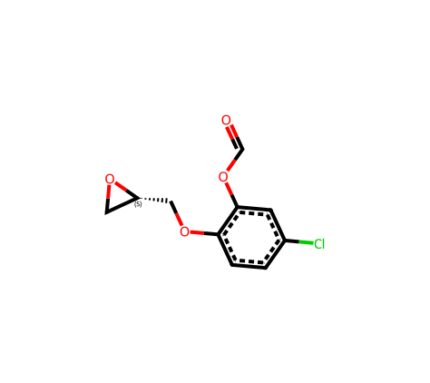 O=COc1cc(Cl)ccc1OC[C@@H]1CO1